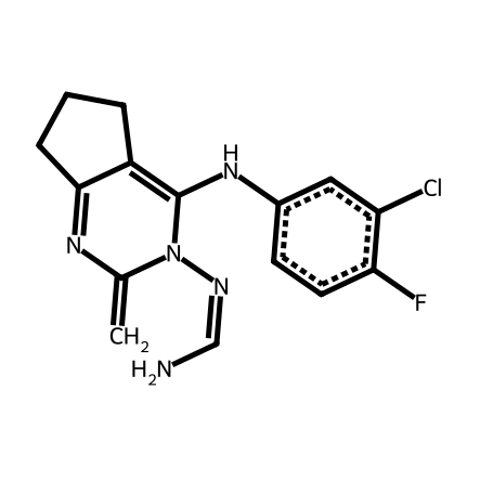 C=C1N=C2CCCC2=C(Nc2ccc(F)c(Cl)c2)N1/N=C\N